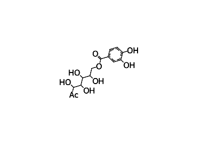 CC(=O)C(O)C(O)C(O)C(O)COC(=O)c1ccc(O)c(O)c1